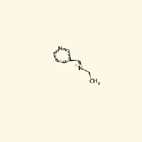 CC/N=C/c1cccnc1